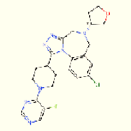 Fc1cncnc1N1CCC(c2nnc3n2-c2ccc(Cl)cc2CN([C@@H]2CCOC2)C3)CC1